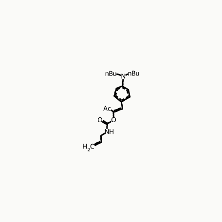 C=CCNC(=O)O/C(=C/c1ccc(N(CCCC)CCCC)cc1)C(C)=O